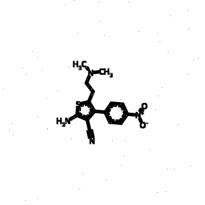 CN(C)CCc1sc(N)c(C#N)c1-c1ccc([N+](=O)[O-])cc1